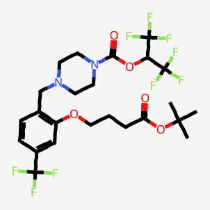 CC(C)(C)OC(=O)CCCOc1cc(C(F)(F)F)ccc1CN1CCN(C(=O)OC(C(F)(F)F)C(F)(F)F)CC1